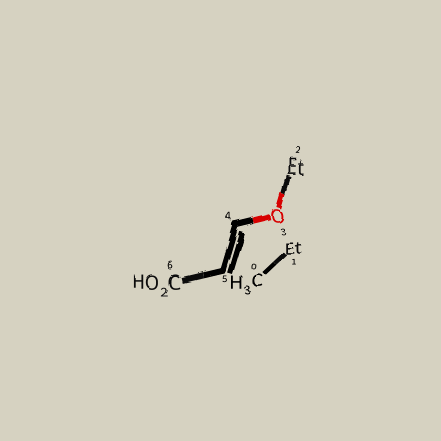 CCC.CCOC=CC(=O)O